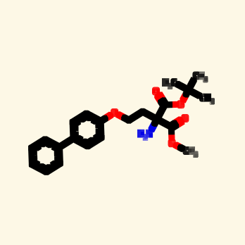 COC(=O)C(N)(C[CH]Oc1ccc(-c2ccccc2)cc1)C(=O)OC(C)(C)C